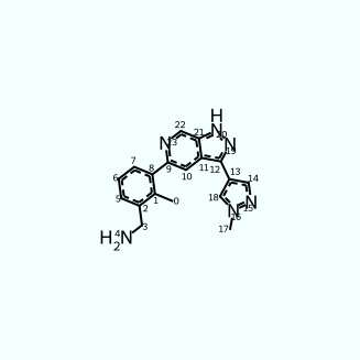 Cc1c(CN)cccc1-c1cc2c(-c3cnn(C)c3)n[nH]c2cn1